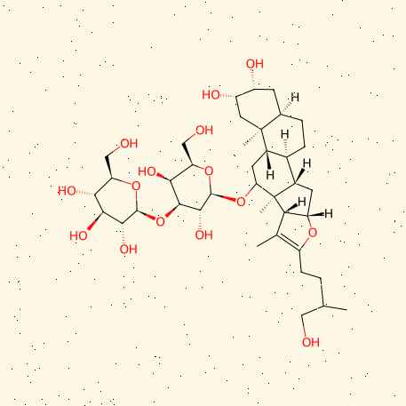 CC1=C(CCC(C)CO)O[C@H]2C[C@H]3[C@@H]4CC[C@@H]5C[C@@H](O)[C@@H](O)C[C@]5(C)[C@H]4CC(O[C@@H]4O[C@H](CO)[C@H](O)[C@H](O[C@@H]5O[C@H](CO)[C@@H](O)[C@H](O)[C@H]5O)[C@H]4O)[C@]3(C)[C@@H]12